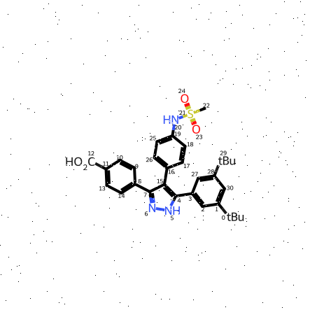 CC(C)(C)c1cc(-c2[nH]nc(-c3ccc(C(=O)O)cc3)c2-c2ccc(NS(C)(=O)=O)cc2)cc(C(C)(C)C)c1